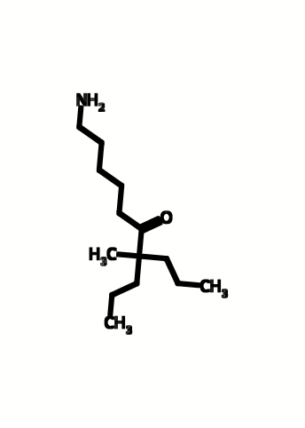 CCCC(C)(CCC)C(=O)CCCCCN